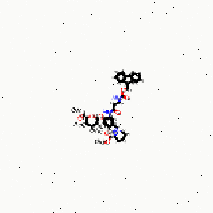 COC(=O)[C@H]1O[C@@H](Oc2ccc(C[N+]3(C)CCCC[C@@H]3C(=O)OC(C)(C)C)cc2NC(=O)CCNC(=O)OCC2c3ccccc3-c3ccccc32)[C@@H](OC(C)=O)[C@H](OC(C)=O)[C@@H]1OC(C)=O